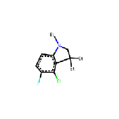 CCN1CC(CC)(CC)c2c1ccc(F)c2Cl